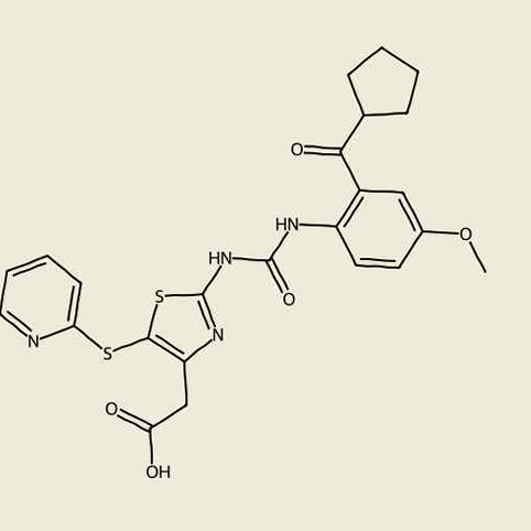 COc1ccc(NC(=O)Nc2nc(CC(=O)O)c(Sc3ccccn3)s2)c(C(=O)C2CCCC2)c1